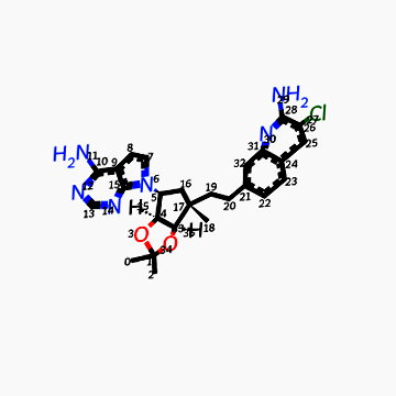 CC1(C)O[C@H]2[C@H](n3ccc4c(N)ncnc43)C[C@](C)(CCc3ccc4cc(Cl)c(N)nc4c3)[C@H]2O1